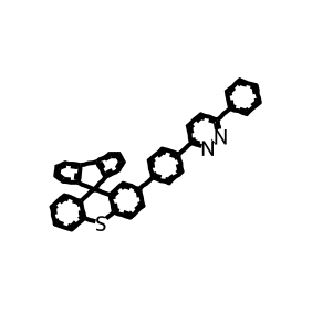 c1ccc(-c2ccc(-c3ccc(-c4ccc5c(c4)C4(c6ccccc6S5)c5ccccc5-c5ccccc54)cc3)nn2)cc1